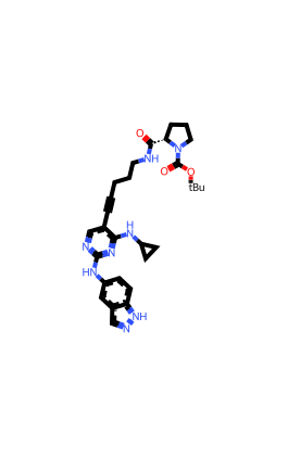 CC(C)(C)OC(=O)N1CCC[C@H]1C(=O)NCCCC#Cc1cnc(Nc2ccc3[nH]ncc3c2)nc1NC1CC1